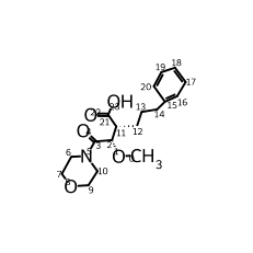 CO[C@H](C(=O)N1CCOCC1)[C@@H](CCCc1ccccc1)C(=O)O